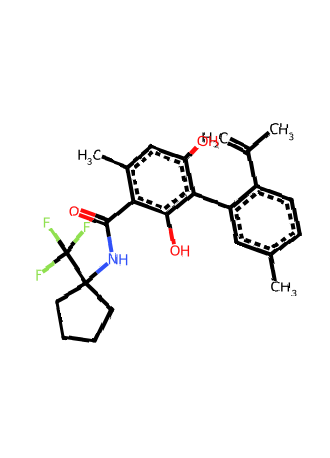 C=C(C)c1ccc(C)cc1-c1c(O)cc(C)c(C(=O)NC2(C(F)(F)F)CCCC2)c1O